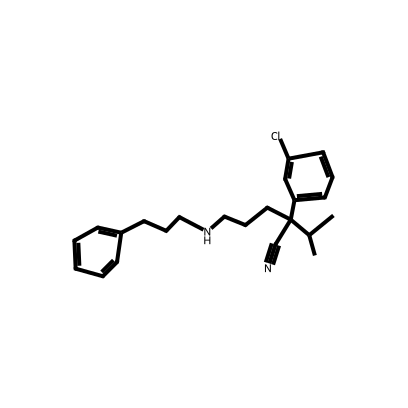 CC(C)C(C#N)(CCCNCCCc1ccccc1)c1cccc(Cl)c1